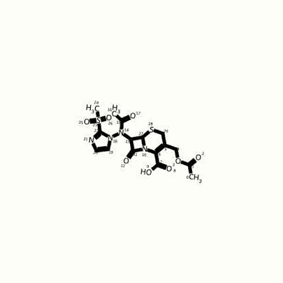 CC(=O)OCC1=C(C(=O)O)N2C(=O)C(N(C(C)=O)n3ccnc3S(C)(=O)=O)C2SC1